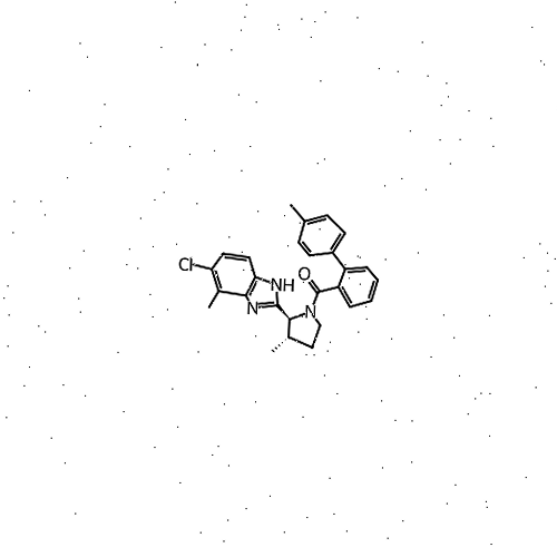 Cc1ccc(-c2ccccc2C(=O)N2CC[C@H](C)[C@H]2c2nc3c(C)c(Cl)ccc3[nH]2)cc1